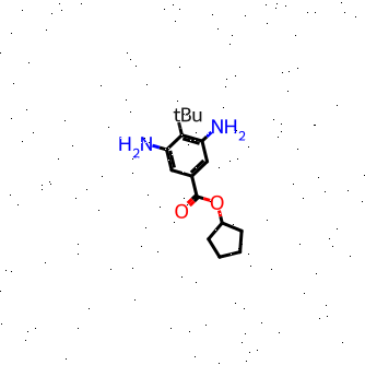 CC(C)(C)c1c(N)cc(C(=O)OC2CCCC2)cc1N